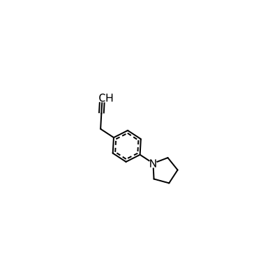 C#CCc1ccc(N2CCCC2)cc1